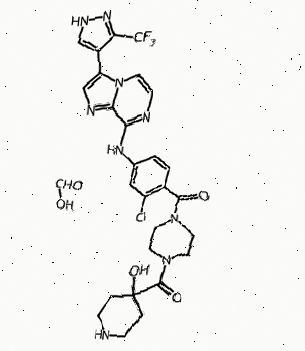 O=C(c1ccc(Nc2nccn3c(-c4c[nH]nc4C(F)(F)F)cnc23)cc1Cl)N1CCN(C(=O)C2(O)CCNCC2)CC1.O=CO